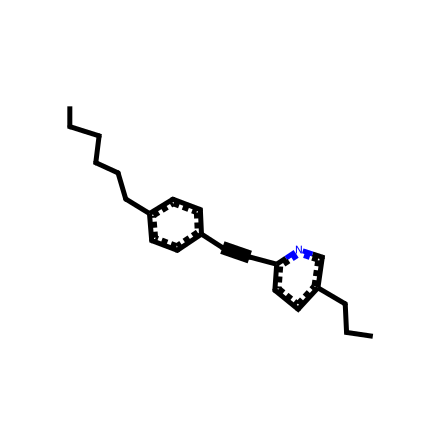 CCCCCCc1ccc(C#Cc2ccc(CCC)cn2)cc1